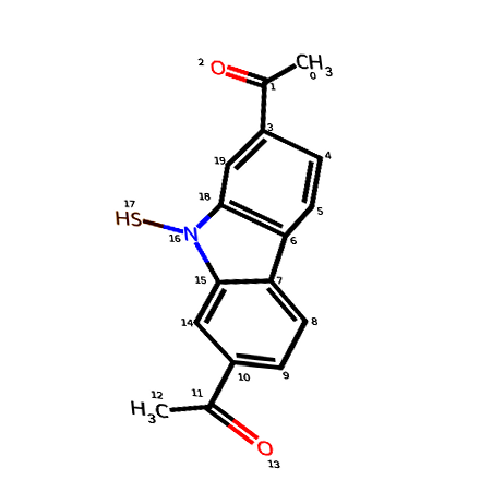 CC(=O)c1ccc2c3ccc(C(C)=O)cc3n(S)c2c1